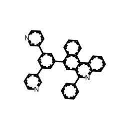 c1ccc(-c2nc3ccccc3c3c2cc(-c2cc(-c4cccnc4)cc(-c4cccnc4)c2)c2ccccc23)cc1